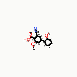 COc1ccccc1-c1cc(C#N)c(C(=O)O)c(OC)c1